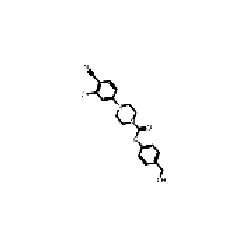 CCc1ccc(OC(=O)N2CCN(c3ccc(C#N)c(Cl)c3)CC2)cc1